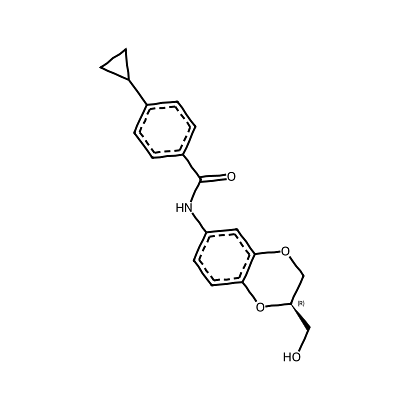 O=C(Nc1ccc2c(c1)OC[C@@H](CO)O2)c1ccc(C2CC2)cc1